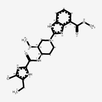 CCc1[nH]c(C(=O)N[C@@H]2CCN(c3nc4c(C(=O)OC)cccc4[nH]3)C[C@@H]2OC)nc1Cl